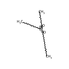 CCCCCCCCCCCCCCCCCCCCC(=O)OC[C@@H](COC(=O)CCCCCCCCCCCC)OC(=O)CCCCCCCCCCCCCCCC